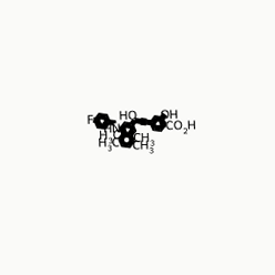 CC1(C)CCC(C)(C)c2c(NCc3ccc(F)cc3)cc(C(O)C#Cc3ccc(C(=O)O)c(O)c3)cc21